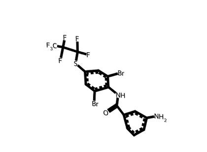 Nc1cccc(C(=O)Nc2c(Br)cc(SC(F)(F)C(F)(F)C(F)(F)F)cc2Br)c1